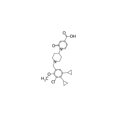 COc1c(CN2CCC(n3ccc(C(=O)O)cc3=O)CC2)cc(C2CC2)c(C2CC2)c1Cl